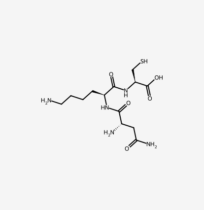 NCCCC[C@H](NC(=O)[C@@H](N)CC(N)=O)C(=O)N[C@@H](CS)C(=O)O